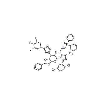 Cc1nc(C2OC3OC(c4ccccc4)OC3C(n3cc(-c4cc(F)c(F)c(F)c4)nn3)C2OC/C=C/P(=O)(c2ccccc2)c2ccccc2)n(-c2cc(Cl)ccc2Cl)n1